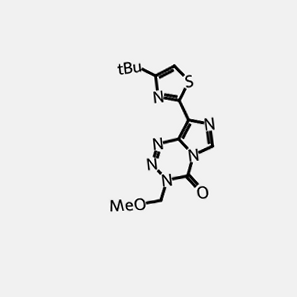 COCn1nnc2c(-c3nc(C(C)(C)C)cs3)ncn2c1=O